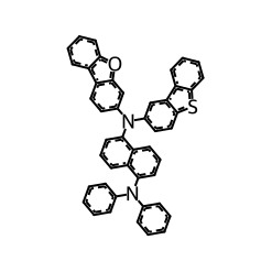 c1ccc(N(c2ccccc2)c2cccc3c(N(c4ccc5c(c4)oc4ccccc45)c4ccc5sc6ccccc6c5c4)cccc23)cc1